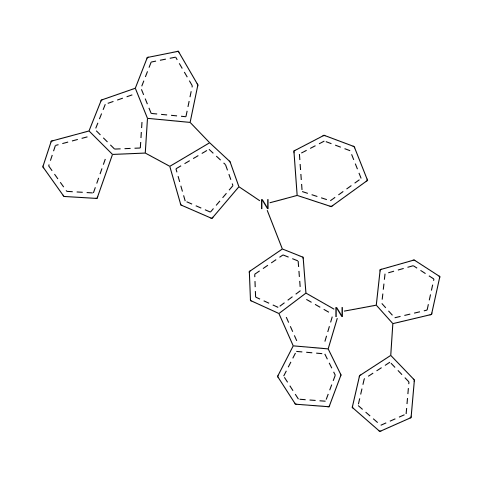 c1ccc(-c2ccccc2-n2c3ccccc3c3ccc(N(c4ccccc4)c4ccc5c(c4)-c4cccc6cc7ccccc7c-5c46)cc32)cc1